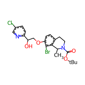 CC1c2c(ccc(OCC(O)c3ccc(Cl)cn3)c2Br)CCN1C(=O)OC(C)(C)C